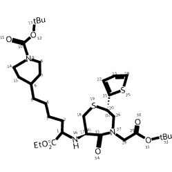 CCOC(=O)C(CCCCC1CCN(C(=O)OC(C)(C)C)CC1)N[C@H]1CS[C@H](c2cccs2)CN(CC(=O)OC(C)(C)C)C1=O